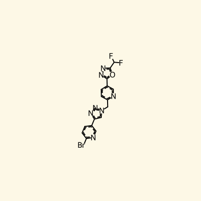 FC(F)c1nnc(-c2ccc(Cn3cc(-c4ccc(Br)nc4)nn3)nc2)o1